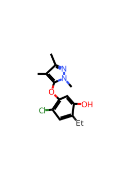 CCc1cc(Cl)c(Oc2c(C)c(C)nn2C)cc1O